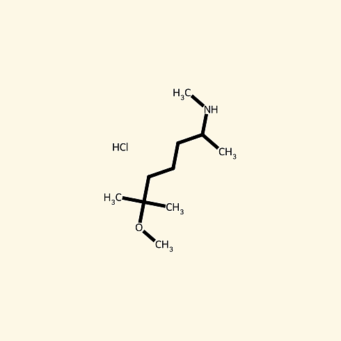 CNC(C)CCCC(C)(C)OC.Cl